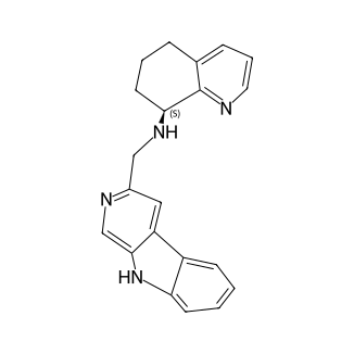 c1cnc2c(c1)CCC[C@@H]2NCc1cc2c(cn1)[nH]c1ccccc12